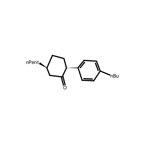 CCCCC[C@H]1CC[C@H](c2ccc(CCCC)cc2)C(=O)C1